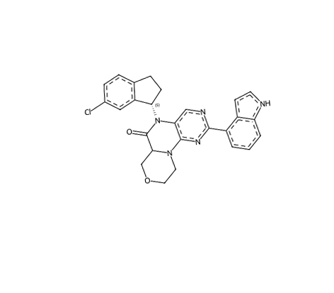 O=C1C2COCCN2c2nc(-c3cccc4[nH]ccc34)ncc2N1[C@H]1CCc2ccc(Cl)cc21